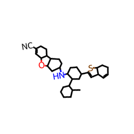 CC1CCCCC1C1CC(C2=CC3C=CCCC3S2)CCC1NC1CCC2C(C1)OC1C=C(C#N)CCC12